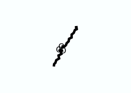 C=CCCCCCCCCC(=O)OC(=O)CCCCCCC